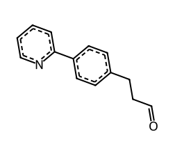 O=CCCc1ccc(-c2ccccn2)cc1